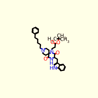 CC(C)(C)OC(=O)CCN1C(=O)C(Cc2c[nH]c3ccccc23)NC(=O)C12CCN(CCCCCc1ccccc1)CC2